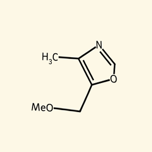 COCc1ocnc1C